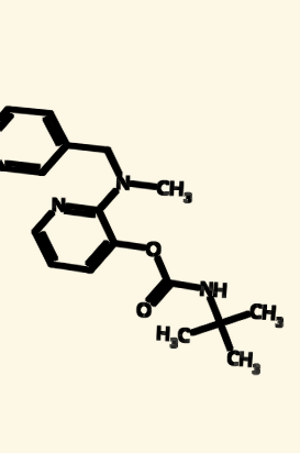 CN(Cc1ccccc1)c1ncccc1OC(=O)NC(C)(C)C